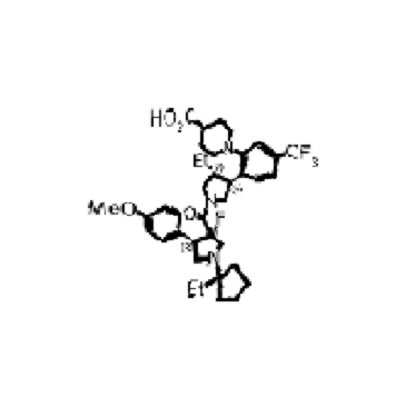 CC[C@H]1CN(C(=O)[C@]2(F)CN(C3(CC)CCCC3)C[C@H]2c2ccc(OC)cc2)C[C@@H]1c1ccc(C(F)(F)F)cc1N1CCC(C(=O)O)CC1